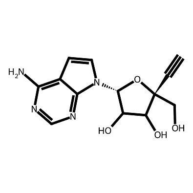 C#C[C@]1(CO)O[C@@H](n2ccc3c(N)ncnc32)C(O)C1O